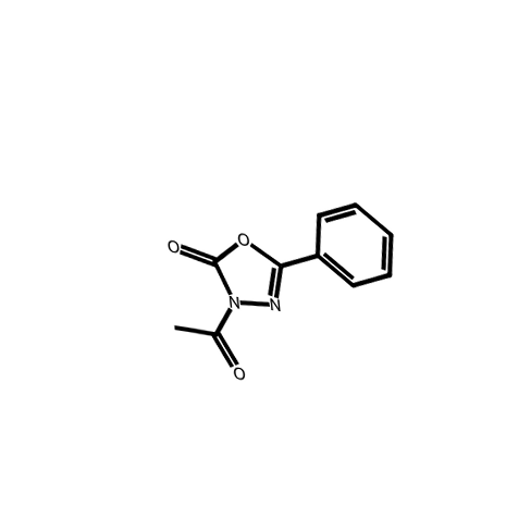 CC(=O)n1nc(-c2ccccc2)oc1=O